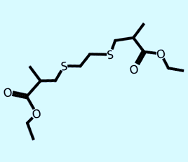 CCOC(=O)C(C)CSCCSCC(C)C(=O)OCC